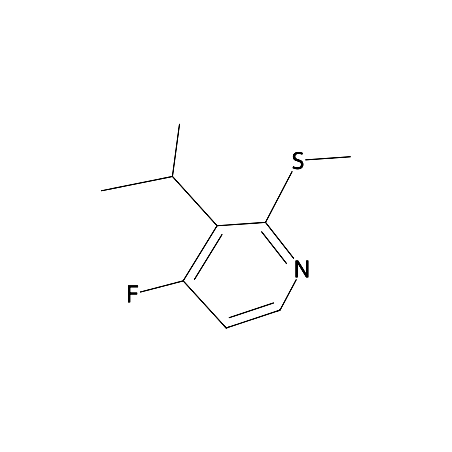 CSc1nccc(F)c1C(C)C